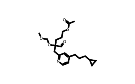 COCOC(C=O)(CCCSC(C)=O)Cc1cc(CCCC2CC2)ccn1